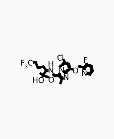 Cc1nc2c(OCc3ncccc3F)cc(Cl)cn2c1C(=O)NC(CCCC(F)(F)F)C(C)(C)O